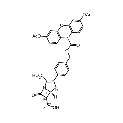 CC(=O)Oc1ccc2c(c1)Oc1cc(OC(C)=O)ccc1N2C(=O)OCc1ccc(C2=C(C(=O)O)N3C(=O)[C@H]([C@@H](C)O)[C@H]3[C@H]2C)cc1